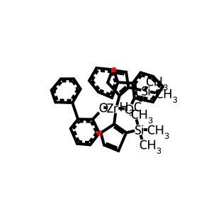 C[Si](C)(C)C1=[C]([Zr]([O]c2ccccc2-c2ccccc2)([O]c2ccccc2-c2ccccc2)[C]2=C([Si](C)(C)C)C=CC2)CC=C1